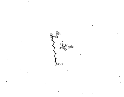 CCCCCCCCC=CCCCCCCCC(=O)OCCCC.O=S(=O)([O-])[O-].[Na+].[Na+]